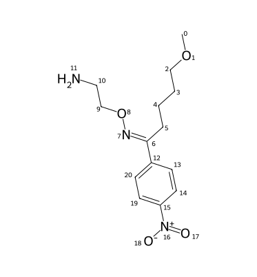 COCCCCC(=NOCCN)c1ccc([N+](=O)[O-])cc1